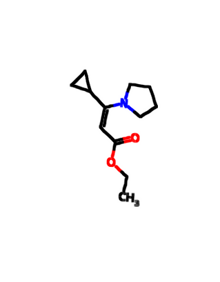 CCOC(=O)/C=C(/C1CC1)N1CCCC1